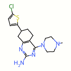 CN1CCN(c2nc(N)nc3c2CCC(c2ccc(Cl)s2)C3)CC1